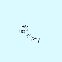 Br.Cl.[Mn].[PbH2]